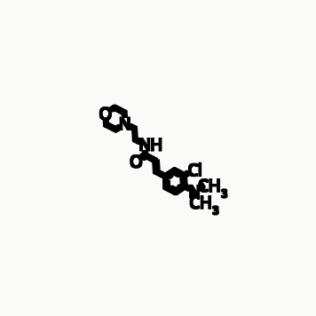 CN(C)c1ccc(/C=C/C(=O)NCCN2CCOCC2)cc1Cl